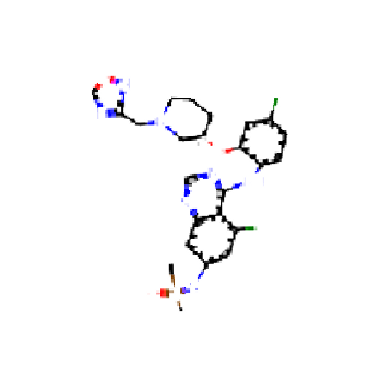 CS(C)(=O)=Nc1cc(F)c2c(Nc3ccc(F)cc3O[C@@H]3CCCN(Cc4ncon4)C3)ncnc2c1